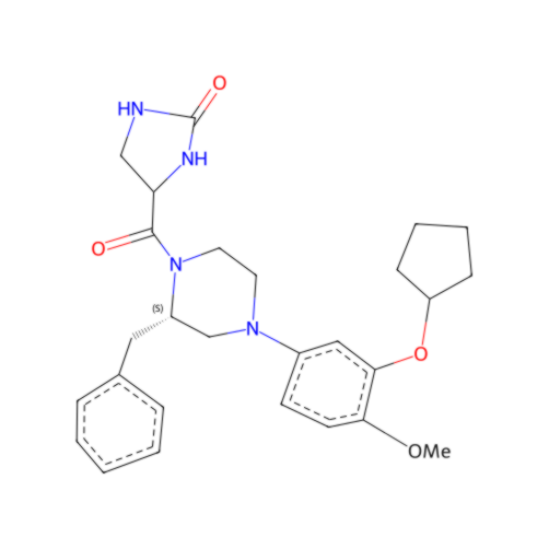 COc1ccc(N2CCN(C(=O)C3CNC(=O)N3)[C@@H](Cc3ccccc3)C2)cc1OC1CCCC1